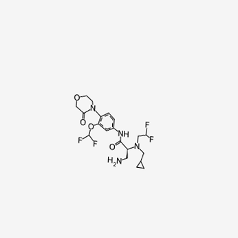 NC[C@@H](C(=O)Nc1ccc(N2CCOCC2=O)c(OC(F)F)c1)N(CC(F)F)CC1CC1